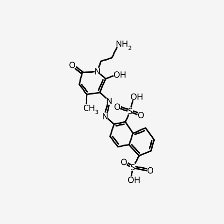 Cc1cc(=O)n(CCN)c(O)c1N=Nc1ccc2c(S(=O)(=O)O)cccc2c1S(=O)(=O)O